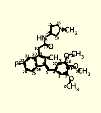 COc1cc(C=C2C(C)=C(CC(=O)NC3CCN(C)C3)c3cc(F)ccc32)cc(OC)c1OC